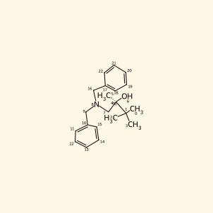 CC(C)(C)[C@](C)(O)CN(Cc1ccccc1)Cc1ccccc1